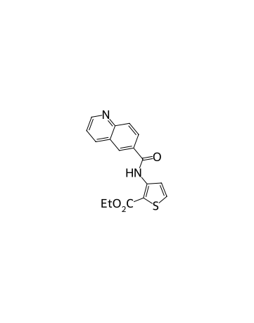 CCOC(=O)c1sccc1NC(=O)c1ccc2ncccc2c1